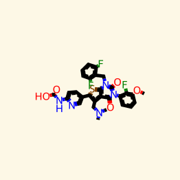 COc1cccc(-n2c(=O)c3c(CN(C)C)c(-c4ccc(NC(=O)O)nc4)sc3n(Cc3c(F)cccc3F)c2=O)c1F